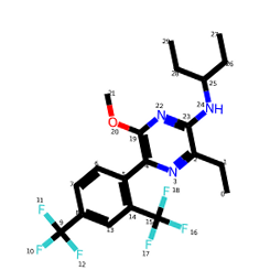 CCc1nc(-c2ccc(C(F)(F)F)cc2C(F)(F)F)c(OC)nc1NC(CC)CC